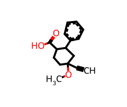 C#CC1(OC)CCC(C(=O)O)C(c2ccccc2)C1